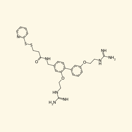 N=C(N)NCCOc1cccc(-c2ccc(CNC(=O)CCSSc3ccccn3)cc2OCCNC(=N)N)c1